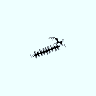 NC(=O)C(CC(=O)O)SC(F)(F)C(F)(F)C(F)(F)C(F)(F)C(F)(F)C(F)(F)C(F)(F)C(F)(F)C(F)(F)C(F)(F)F